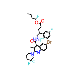 CCCC(F)OC(=O)CCC(CNC(=O)c1c(C)c(N2CCCC(F)(F)C2)nc2ccc(Br)cc12)c1cc(F)ccc1F